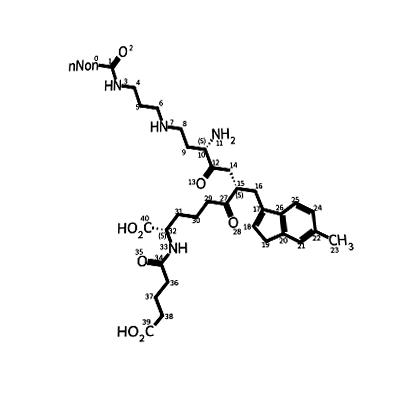 CCCCCCCCCC(=O)NCCCNCC[C@H](N)C(=O)C[C@H](CC1=CCc2cc(C)ccc21)C(=O)CCC[C@H](NC(=O)CCCC(=O)O)C(=O)O